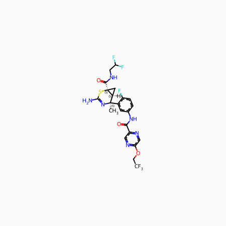 C[C@]1(c2cc(NC(=O)c3cnc(OCC(F)(F)F)cn3)ccc2F)N=C(N)S[C@@]2(C(=O)NCC(F)F)C[C@H]21